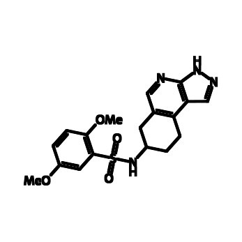 COc1ccc(OC)c(S(=O)(=O)NC2CCc3c(cnc4[nH]ncc34)C2)c1